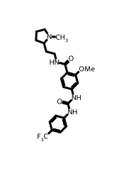 COc1cc(NC(=O)Nc2ccc(C(F)(F)F)cc2)ccc1C(=O)NCCC1CCCN1C